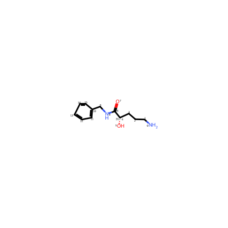 NCCC[C@H](O)C(=O)NCc1ccccc1